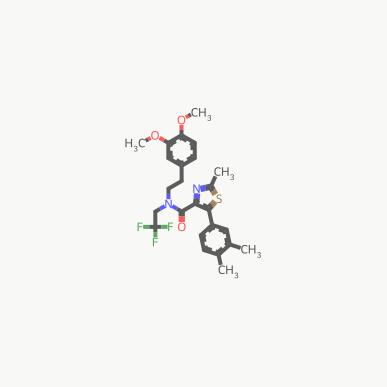 COc1ccc(CCN(CC(F)(F)F)C(=O)c2nc(C)sc2-c2ccc(C)c(C)c2)cc1OC